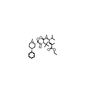 CCOC(=O)/C(C)=C/[C@H](C(C)C)N(C)C(=O)[C@@H](NC(=O)[C@@H]1C[C@@H](c2ccccc2)CCN1C)C(C)(C)C